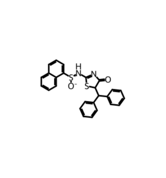 O=C1N=C(N[S+]([O-])c2cccc3ccccc23)SC1C(c1ccccc1)c1ccccc1